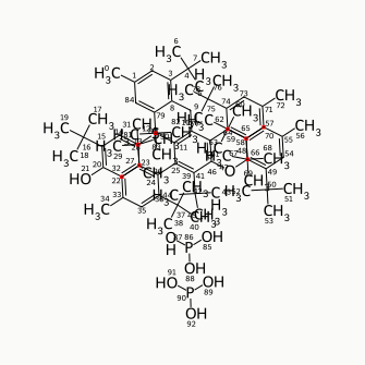 Cc1cc(C(C)(C)C)c(Cc2c(Sc3cc(C(C)(C)C)c(O)cc3C)c(-c3c(C(C)(C)C)cc(C)cc3C(C)(C)C)c(C(C)(C)C)c(Oc3c(C(C)(C)C)cc(C)cc3C(C)(C)C)c2-c2c(C(C)(C)C)cc(C)cc2C(C)(C)C)c(C(C)(C)C)c1.OP(O)O.OP(O)O